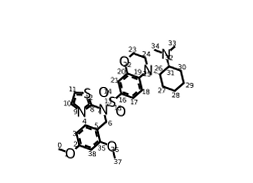 COc1ccc(CN(c2nccs2)S(=O)(=O)c2ccc3c(c2)OCCN3[C@H]2CCCC[C@@H]2N(C)C)c(OC)c1